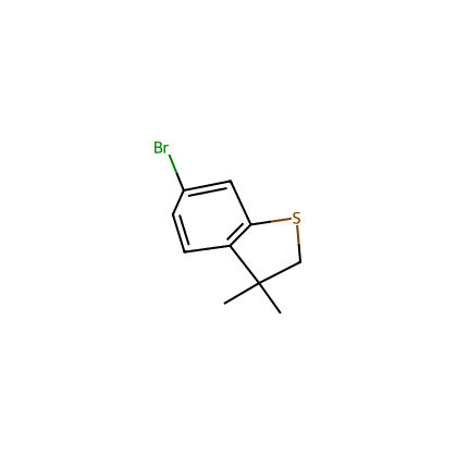 CC1(C)CSc2cc(Br)ccc21